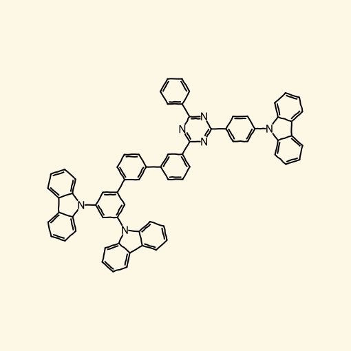 c1ccc(-c2nc(-c3ccc(-n4c5ccccc5c5ccccc54)cc3)nc(-c3cccc(-c4cccc(-c5cc(-n6c7ccccc7c7ccccc76)cc(-n6c7ccccc7c7ccccc76)c5)c4)c3)n2)cc1